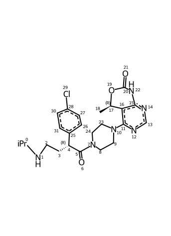 CC(C)NCC[C@@H](C(=O)N1CCN(c2ncnc3c2[C@@H](C)OC(=O)N3)CC1)c1ccc(Cl)cc1